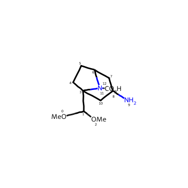 COC(OC)C12CCC(CC(N)C1)N2C(=O)O